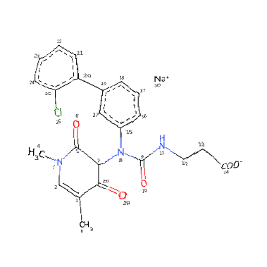 CC1=CN(C)C(=O)C(N(C(=O)NCCC(=O)[O-])c2cccc(-c3ccccc3Cl)c2)C1=O.[Na+]